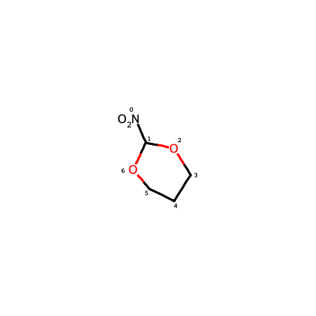 O=[N+]([O-])C1OCCCO1